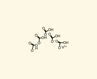 O=C([O-])O.O=C([O-])O.O=C([O-])O.O=C([O-])O.O=C([O-])O.[V+5]